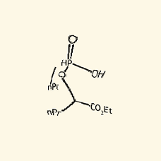 CCCC.CCCC(O[PH](=O)O)C(=O)OCC